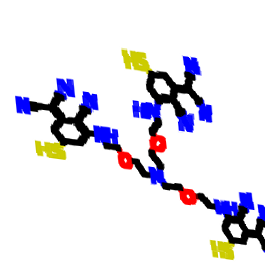 N#CC(C#N)=C1CC(S)CC(NCCOCCN(CCOCCNC2=C(C#N)C(=C(C#N)C#N)CC(S)C2)CCOCCNC2=C(C#N)C(=C(C#N)C#N)CC(S)C2)=C1C#N